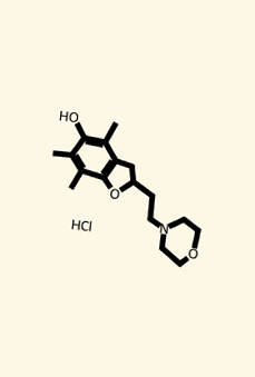 Cc1c(C)c2c(c(C)c1O)CC(CCN1CCOCC1)O2.Cl